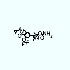 Cc1nc(OC(N)=O)sc1-c1cc2c(c(OC(F)F)c1)C(=O)N(C(C)C1CC1)C2